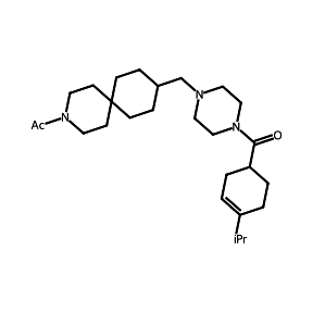 CC(=O)N1CCC2(CCC(CN3CCN(C(=O)C4CC=C(C(C)C)CC4)CC3)CC2)CC1